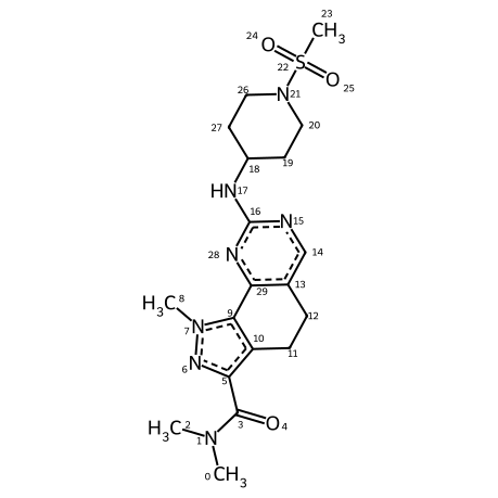 CN(C)C(=O)c1nn(C)c2c1CCc1cnc(NC3CCN(S(C)(=O)=O)CC3)nc1-2